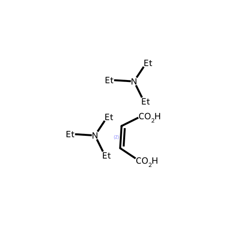 CCN(CC)CC.CCN(CC)CC.O=C(O)/C=C\C(=O)O